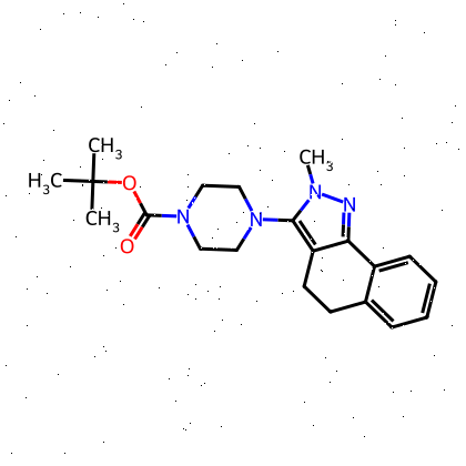 Cn1nc2c(c1N1CCN(C(=O)OC(C)(C)C)CC1)CCc1ccccc1-2